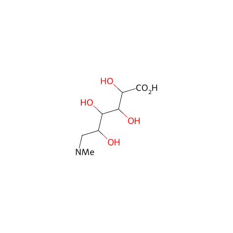 CNCC(O)C(O)C(O)C(O)C(=O)O